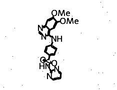 COc1cc2ncnc(Nc3ccc(S(=O)(=O)Nc4ncccn4)cc3)c2cc1OC